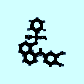 CC(C)(Oc1cccc2ncnc(Nc3ccc(F)c(Cl)c3)c12)c1ncccn1